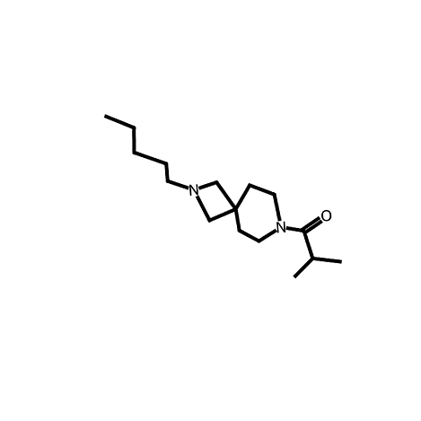 CCCCCN1CC2(CCN(C(=O)C(C)C)CC2)C1